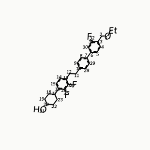 CCOCc1ccc(-c2ccc(CCc3ccc(C4CCC(O)CC4)c(F)c3F)cc2)cc1F